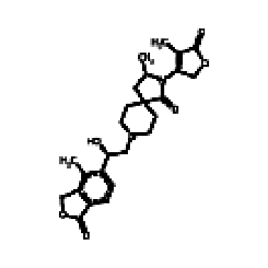 CC1=C(N2C(=O)C3(CCN(C[C@H](O)c4ccc5c(c4C)COC5=O)CC3)CC2C)COC1=O